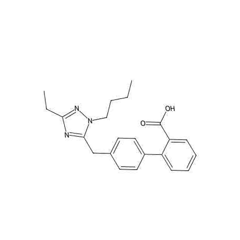 CCCCn1nc(CC)nc1Cc1ccc(-c2ccccc2C(=O)O)cc1